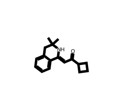 CC1(C)Cc2ccccc2C(=CC(=O)C2CCC2)N1